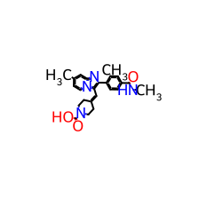 CNC(=O)c1ccc(-c2nc3cc(C)ccn3c2C=C2CCN(C(=O)O)CC2)c(C)c1